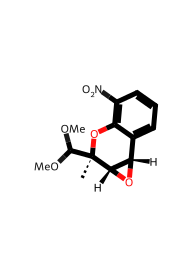 COC(OC)[C@@]1(C)Oc2c(cccc2[N+](=O)[O-])[C@@H]2O[C@@H]21